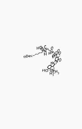 CCCCCCCCCCCCCCCC(=O)N[C@@H](CCC(=O)NCC(=O)O[C@]1(CC)C(=O)OCc2c1cc1n(c2=O)Cc2c-1nc1ccc(O)cc1c2CN(C)C)C(=O)O